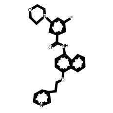 O=C(Nc1ccc(OCCc2cccnc2)c2ccccc12)c1cc(F)cc(N2CCOCC2)c1